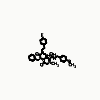 COc1ccc(CNC(=O)N2[C@H]3CN(CCc4ccc(F)cc4)C(=O)[C@H](Cc4ccccc4)N3C(=O)CN2C)cc1